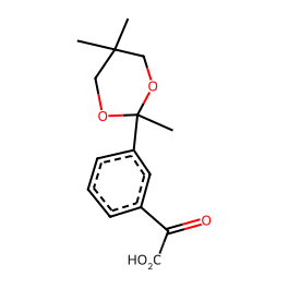 CC1(C)COC(C)(c2cccc(C(=O)C(=O)O)c2)OC1